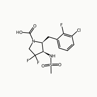 CS(=O)(=O)N[C@@H]1[C@H](Cc2cccc(Cl)c2F)N(C(=O)O)CC1(F)F